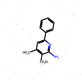 CCOC(=O)c1c(C(=O)O)cc(-c2ccccc2)nc1N